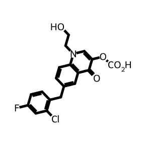 O=C(O)Oc1cn(CCO)c2ccc(Cc3ccc(F)cc3Cl)cc2c1=O